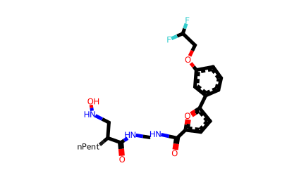 CCCCCC(CNO)C(=O)NCNC(=O)c1ccc(-c2cccc(OCC(F)F)c2)o1